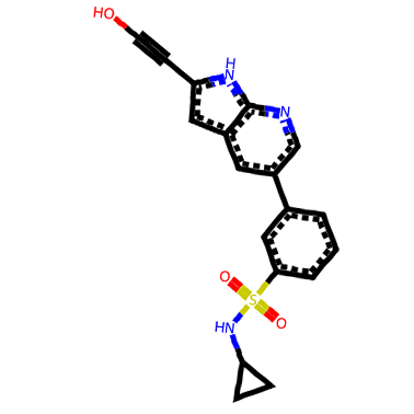 O=S(=O)(NC1CC1)c1cccc(-c2cnc3[nH]c(C#CO)cc3c2)c1